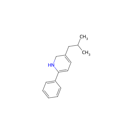 CC(C)CC1=CC=C(c2ccccc2)NC1